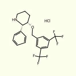 Cl.FC(F)(F)c1cc(CO[C@H]2CCCN[C@H]2c2ccccc2)cc(C(F)(F)F)c1